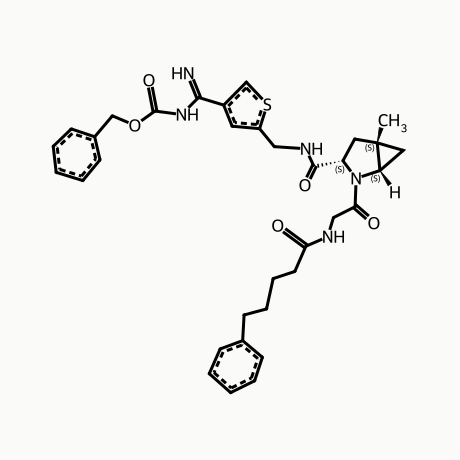 C[C@@]12C[C@@H]1N(C(=O)CNC(=O)CCCCc1ccccc1)[C@H](C(=O)NCc1cc(C(=N)NC(=O)OCc3ccccc3)cs1)C2